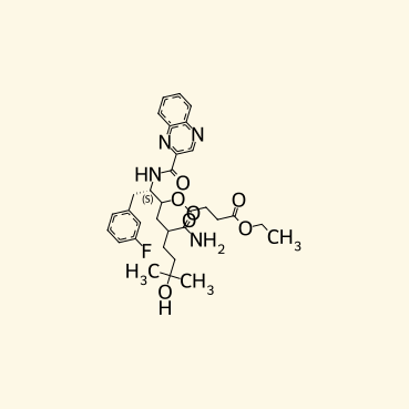 CCOC(=O)CCC(=O)OC(CC(CCC(C)(C)O)C(N)=O)[C@H](Cc1cccc(F)c1)NC(=O)c1cnc2ccccc2n1